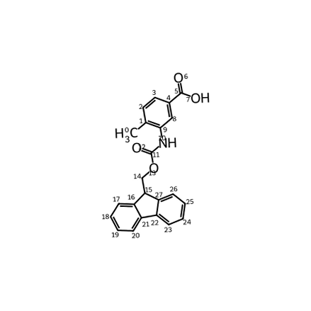 Cc1ccc(C(=O)O)cc1NC(=O)OCC1c2ccccc2-c2ccccc21